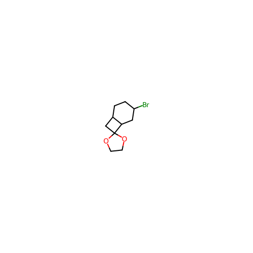 BrC1CCC2CC3(OCCO3)C2C1